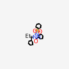 CC[C@H](NC(=O)c1ccccc1N(C)S(=O)(=O)c1ccccc1)c1ccccc1